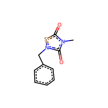 Cn1c(=O)sn(Cc2ccccc2)c1=O